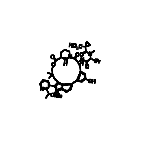 CCn1c(-c2cccnc2[C@H](C)OC)c2c3cc(ccc31)-c1cc(O)cc(c1)C[C@H](NC(=O)[C@H](C(C)C)N(C)C(=O)C1(C(=O)O)CC1)C(=O)N1CCC[C@@](C)(N1)C(=O)OCC(C)(C)C2